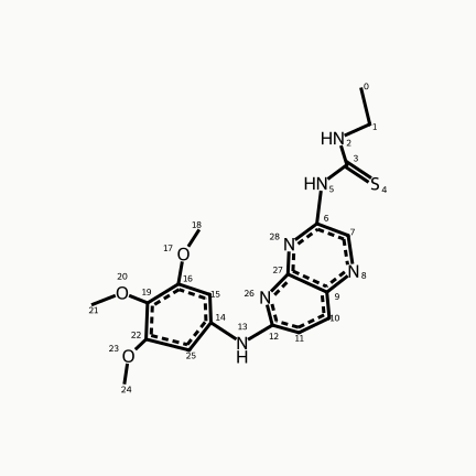 CCNC(=S)Nc1cnc2ccc(Nc3cc(OC)c(OC)c(OC)c3)nc2n1